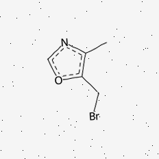 Cc1ncoc1CBr